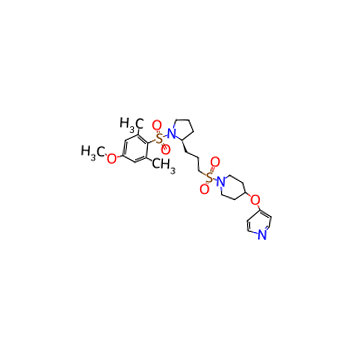 COc1cc(C)c(S(=O)(=O)N2CCC[C@H]2CCCS(=O)(=O)N2CCC(Oc3ccncc3)CC2)c(C)c1